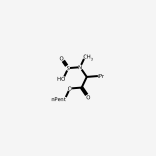 CCCCCOC(=O)C(C(C)C)N(C)S(=O)O